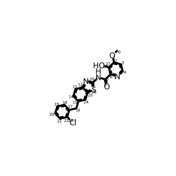 COc1ccnc(C(=O)Nc2nc3ccc(Cc4ccccc4Cl)cc3s2)c1O